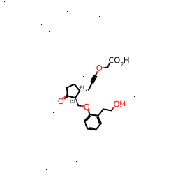 O=C(O)COC#CC[C@H]1CCC(=O)[C@@H]1COc1ccccc1CCO